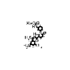 COC(=O)Nc1cccc(-n2cc(C(=O)N[C@H](C)c3cc(N)cc(C(F)(F)F)c3)ccc2=O)c1